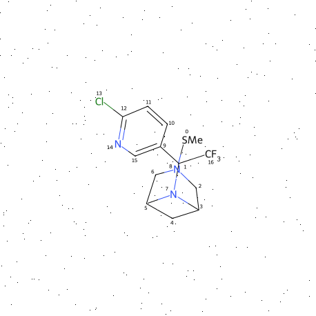 CSN1CC2CC(C1)N2C(c1ccc(Cl)nc1)C(F)(F)F